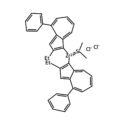 CCc1cc2c(-c3ccccc3)ccccc-2[c]1[Zr+2]([c]1c(CC)cc2c(-c3ccccc3)ccccc1-2)=[Si](C)C.[Cl-].[Cl-]